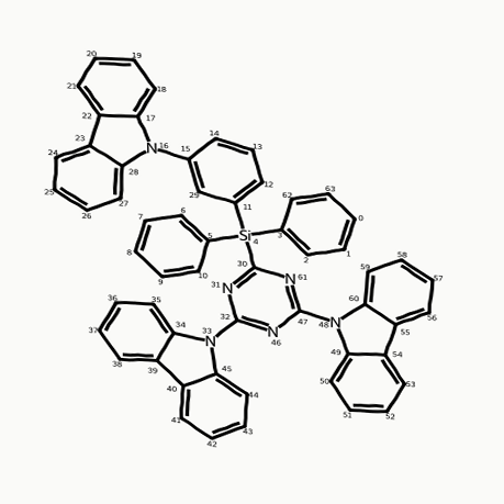 c1ccc([Si](c2ccccc2)(c2cccc(-n3c4ccccc4c4ccccc43)c2)c2nc(-n3c4ccccc4c4ccccc43)nc(-n3c4ccccc4c4ccccc43)n2)cc1